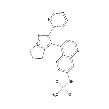 CS(=O)(=O)Nc1ccc2c(-c3c(-c4ccccn4)nn4c3CCC4)ccnc2c1